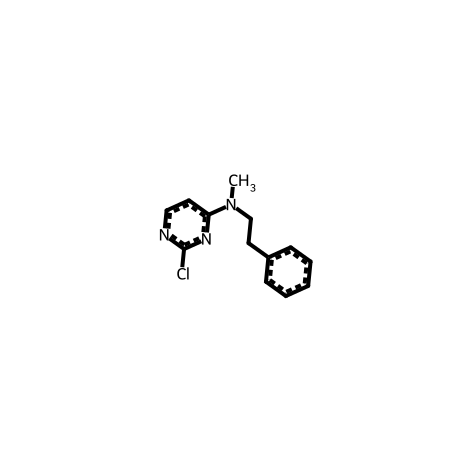 CN(CCc1ccccc1)c1ccnc(Cl)n1